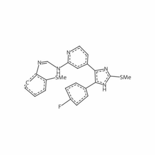 CSc1nc(-c2ccnc(N/C=N\c3ccccc3SC)c2)c(-c2ccc(F)cc2)[nH]1